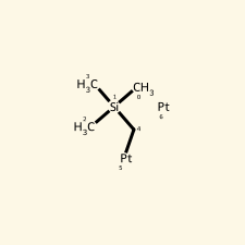 C[Si](C)(C)[CH2][Pt].[Pt]